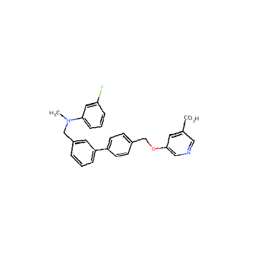 CN(Cc1cccc(-c2ccc(COc3cncc(C(=O)O)c3)cc2)c1)c1cccc(F)c1